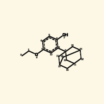 CCOc1ccc(O)c(C23CC4CC(CC(C4)C2)C3)c1